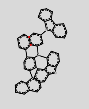 c1ccc(-c2ccc(-c3cccc4ccccc34)cc2N(c2cccc(-n3c4ccccc4c4ccccc43)c2)c2cccc3oc4ccccc4c23)cc1